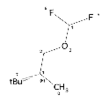 C[C@@H](COC(F)F)C(C)(C)C